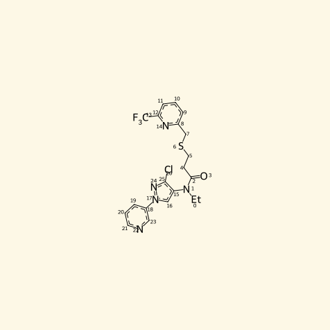 CCN(C(=O)CCSCc1cccc(C(F)(F)F)n1)c1cn(-c2cccnc2)nc1Cl